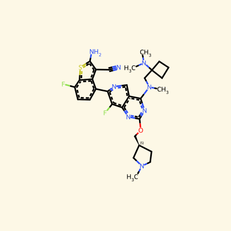 CN1CC[C@H](COc2nc(N(C)CC3(N(C)C)CCC3)c3cnc(-c4ccc(F)c5sc(N)c(C#N)c45)c(F)c3n2)C1